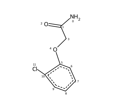 NC(=O)COc1c[c]ccc1Cl